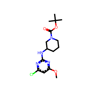 COc1cc(Cl)nc(NC2CCCN(C(=O)OC(C)(C)C)C2)n1